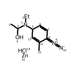 CCN(C(C)O)C1C=CC(=[N+]=[N-])C(C)=C1.Cl.[Zn]